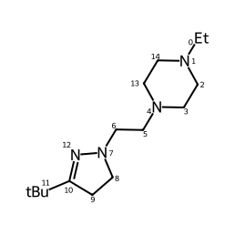 CCN1CCN(CCN2CCC(C(C)(C)C)=N2)CC1